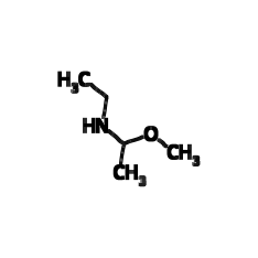 CCNC(C)OC